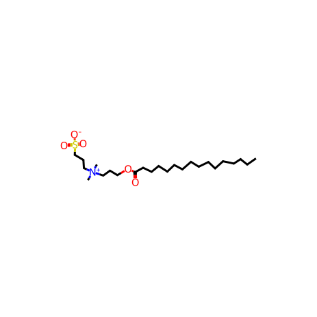 CCCCCCCCCCCCCCCC(=O)OCCC[N+](C)(C)CCCS(=O)(=O)[O-]